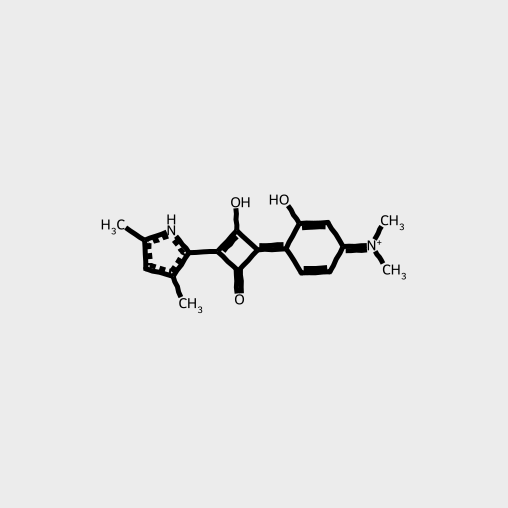 Cc1cc(C)c(C2=C(O)/C(=C3/C=CC(=[N+](C)C)C=C3O)C2=O)[nH]1